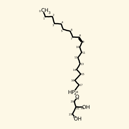 CCCCCCCC/C=C\CCCCCCCCPOCC(O)CO